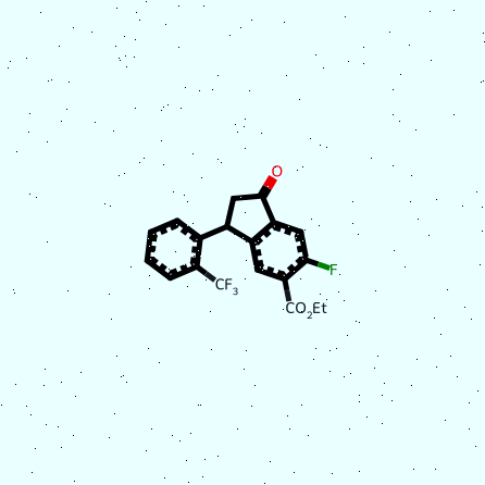 CCOC(=O)c1cc2c(cc1F)C(=O)CC2c1ccccc1C(F)(F)F